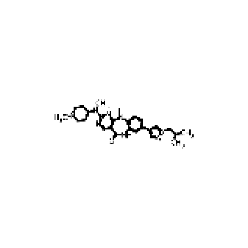 CC(C)Cn1cc(-c2ccc3c(c2)NC(=O)c2cnc(N(C)C4CCN(C)CC4)nc2N3)cn1